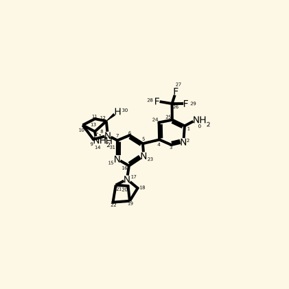 Nc1ncc(-c2cc(N3CC4C[C@H]3[C@H]4N)nc(N3CC4CC3C4)n2)cc1C(F)(F)F